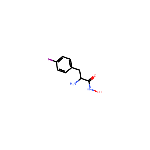 NC(Cc1ccc(I)cc1)C(=O)NO